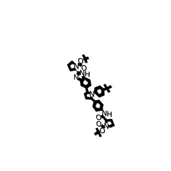 CC(C)(C)OC(=O)N1CCCC1C(=O)Nc1ccc(C2CCC(c3ccc4[nH]c([C@@H]5CCCN5C(=O)OC(C)(C)C)nc4c3)N2c2ccc(C(C)(C)C)cc2)cc1